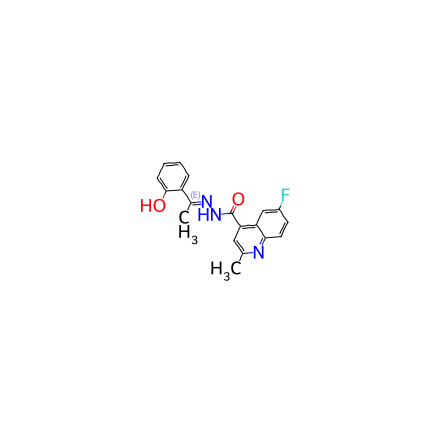 C/C(=N\NC(=O)c1cc(C)nc2ccc(F)cc12)c1ccccc1O